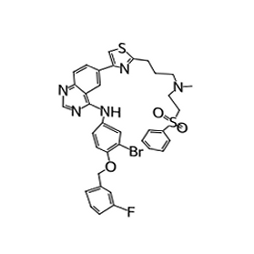 CN(CCCc1nc(-c2ccc3ncnc(Nc4ccc(OCc5cccc(F)c5)c(Br)c4)c3c2)cs1)CCS(=O)(=O)c1ccccc1